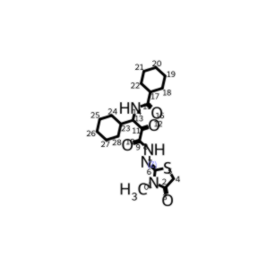 CN1C(=O)CS/C1=N\NC(=O)C(=O)C(NC(=O)C1CCCCC1)C1CCCCC1